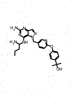 CCCC(N)Nc1nc(N)nc2cnn(Cc3ccc(Oc4ccc(C(C)(C)O)cc4)nc3)c12